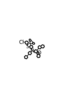 Clc1ccc2c(c1)Sc1cc(N(c3ccc(-c4ccccc4)cc3)c3cc(-c4ccc5ccccc5c4)c4oc5ccccc5c4c3)ccc1C21c2ccccc2-c2ccccc21